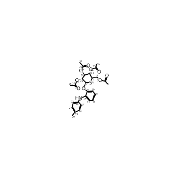 CC(=O)OC[C@H]1S[C@@H](Oc2ccccc2Nc2ccc(C)cc2)[C@H](OC(C)=O)[C@@H](OC(C)=O)[C@@H]1OC(C)=O